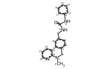 CN(Cc1ccc(CNC(=O)Nc2ccccc2)cc1)c1ccccn1